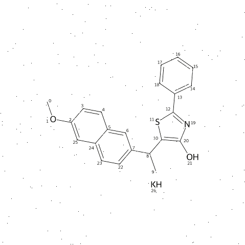 COc1ccc2cc(C(C)c3sc(-c4ccccc4)nc3O)ccc2c1.[KH]